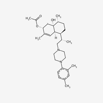 CC(=O)O[C@@H]1[C][C@@]2(O)[C@H](C)CC[C@@H]([C@H](C)CN3CCN(c4ccc(C)cc4C)CC3)[C@H]2C=C1C